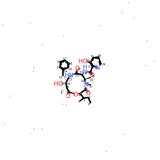 CCC(C)C1OC(=O)[C@H](C)[C@H](O)[C@H](Cc2ccccc2)NC(=O)[C@@H](NC(=O)c2ncccc2O)[C@@H](C)N(C)C1=O